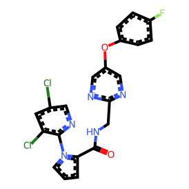 O=C(NCc1ncc(Oc2ccc(F)cc2)cn1)c1cccn1-c1ncc(Cl)cc1Cl